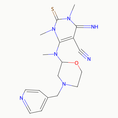 CN(c1c(C#N)c(=N)n(C)c(=S)n1C)C1CN(Cc2ccncc2)CCO1